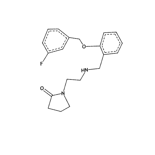 O=C1CCCN1CCNCc1ccccc1OCc1cccc(F)c1